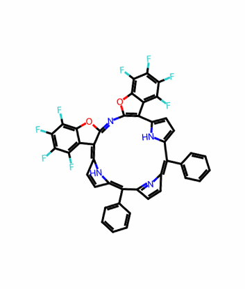 Fc1c(F)c(F)c2c(oc3nc4oc5c(F)c(F)c(F)c(F)c5c4c4ccc([nH]4)c(-c4ccccc4)c4nc(c(-c5ccccc5)c5ccc([nH]5)c32)C=C4)c1F